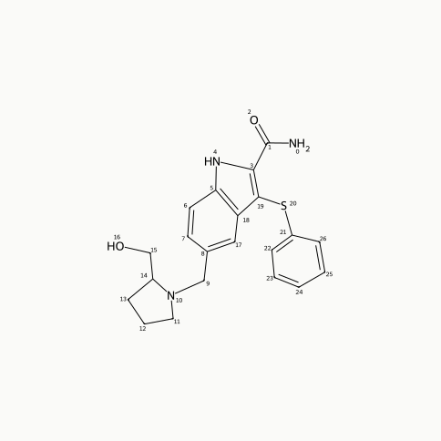 NC(=O)c1[nH]c2ccc(CN3CCCC3CO)cc2c1Sc1ccccc1